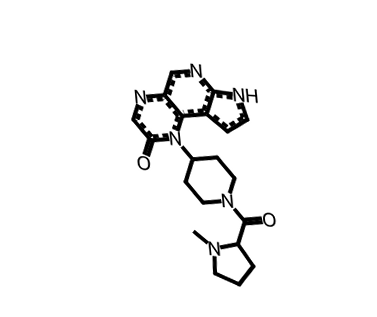 CN1CCCC1C(=O)N1CCC(n2c(=O)cnc3cnc4[nH]ccc4c32)CC1